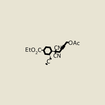 C=C=C[C@@H]1C[C@@H](C(=O)OCC)CC[C@H]1C(C#N)(C#N)CC#CCOC(C)=O